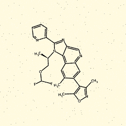 Cc1cc2c(cc1-c1c(C)noc1C)ncc1nc(-c3ccccn3)n([C@H](C)COC(F)F)c12